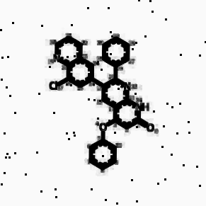 O=c1cc(Oc2ccccc2)c2cc(-c3cc(Cl)c4ncccc4c3)c(-c3ccccc3)nc2[nH]1